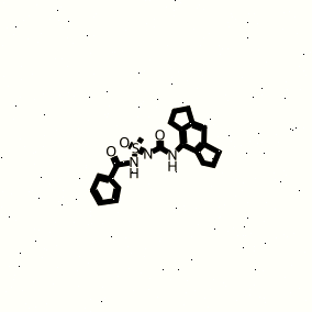 CS(=O)(=NC(=O)Nc1c2c(cc3c1CCC3)CCC2)NC(=O)c1ccccc1